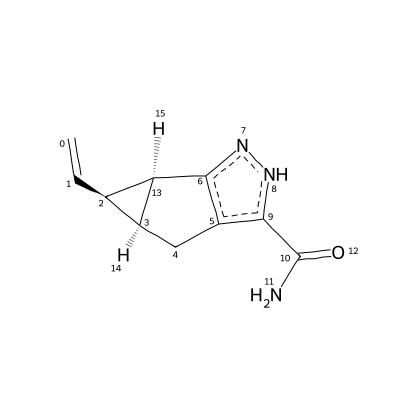 C=C[C@@H]1[C@@H]2Cc3c(n[nH]c3C(N)=O)[C@H]12